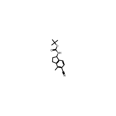 Cc1c(C#N)ccc2c1CCC2NC(=O)OC(C)(C)C